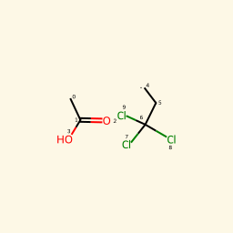 CC(=O)O.[CH2]CC(Cl)(Cl)Cl